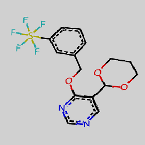 FS(F)(F)(F)(F)c1cccc(COc2ncncc2C2OCCCO2)c1